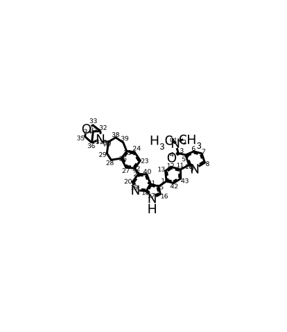 CN(C)C(=O)c1cccnc1-c1ccc(-c2c[nH]c3ncc(-c4ccc5c(c4)CC[C@@H](N4C6COCC4C6)CC5)cc23)cc1